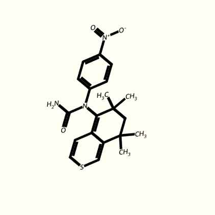 CC1(C)CC(C)(C)C(N(C(N)=O)c2ccc([N+](=O)[O-])cc2)=C2C=CSC=C21